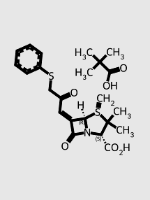 C=S1[C@@H]2C(=CC(=O)CSc3ccccc3)C(=O)N2[C@@H](C(=O)O)C1(C)C.CC(C)(C)C(=O)O